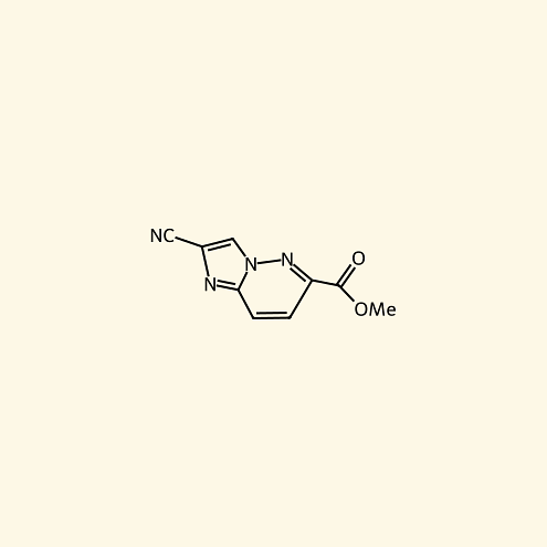 COC(=O)c1ccc2nc(C#N)cn2n1